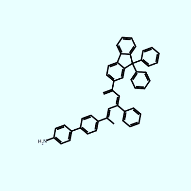 C=C(/C=C(\C=C(/C)c1ccc(-c2ccc(N)cc2)cc1)c1ccccc1)c1ccc2c(c1)C(c1ccccc1)(c1ccccc1)c1ccccc1-2